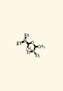 CCN(CC)C(C)OC(C)N(CC)CC